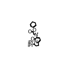 CC(C)C1(C(C)C)CCc2ccc(N(C)CC(=O)OC3=CCCC=C3)c(=O)n21